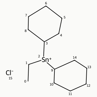 C[CH2][Sn+]([CH]1CCCCC1)[CH]1CCCCC1.[Cl-]